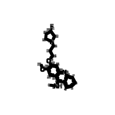 CNc1c2ccccc2nc2cc(OCCCN3CC[C@H](F)C3)c(OC)cc12